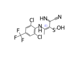 C/C(Nc1c(Cl)cc(C(F)(F)F)cc1Cl)=C(\SO)C(=N)C#N